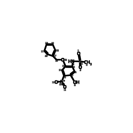 CS(=O)(=O)Nc1cc(O)c([N+](=O)[O-])cc1OCc1ccccc1